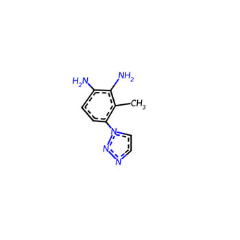 Cc1c(-n2ccnn2)ccc(N)c1N